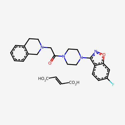 O=C(CN1CCc2ccccc2C1)N1CCN(c2noc3cc(F)ccc23)CC1.O=C(O)C=CC(=O)O